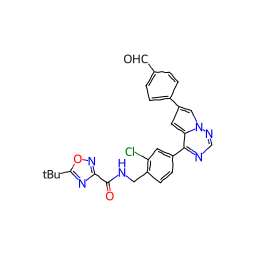 CC(C)(C)c1nc(C(=O)NCc2ccc(-c3ncnn4cc(-c5ccc(C=O)cc5)cc34)cc2Cl)no1